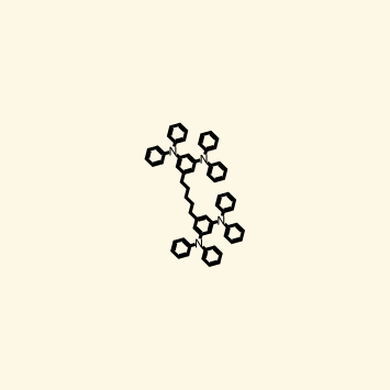 c1ccc(N(c2ccccc2)c2cc(CCCCCc3cc(N(c4ccccc4)c4ccccc4)cc(N(c4ccccc4)c4ccccc4)c3)cc(N(c3ccccc3)c3ccccc3)c2)cc1